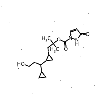 CC(C)(CC1CC1C(CCO)C1CC1)OC(=O)n1ccc(=O)[nH]1